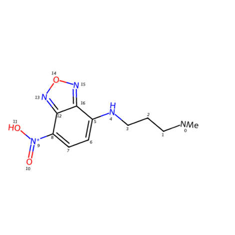 CNCCCNc1ccc([N+](=O)O)c2nonc12